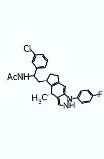 CC(=O)NC(C[C@H]1CCC2=C1[C@@H](C)C1=CNN(c3ccc(F)cc3)C1=C2)c1cccc(Cl)c1